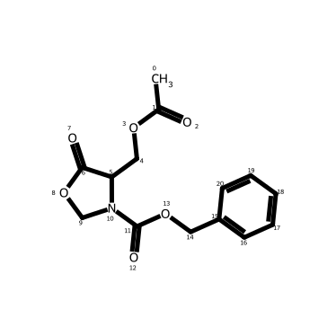 CC(=O)OCC1C(=O)OCN1C(=O)OCc1ccccc1